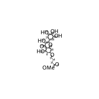 COC(=O)CCCOc1cc(O)c2c(=O)c(O)c(-c3cc(O)c(O)c(O)c3)oc2c1